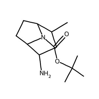 CC1CC(N)C2CCC1N2C(=O)OC(C)(C)C